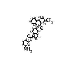 Nc1cccc(CC(=O)N2CCc3cc(NC(=O)c4cc(C(F)(F)F)ccc4-c4ccccc4)ccc32)n1